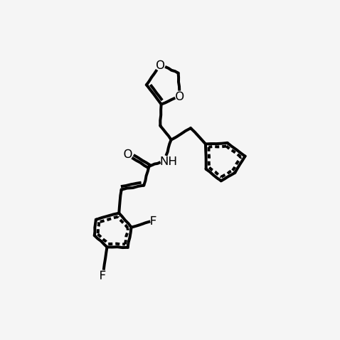 O=C(C=Cc1ccc(F)cc1F)NC(CC1=COCO1)Cc1ccccc1